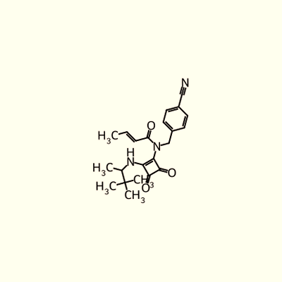 C/C=C/C(=O)N(Cc1ccc(C#N)cc1)c1c(NC(C)C(C)(C)C)c(=O)c1=O